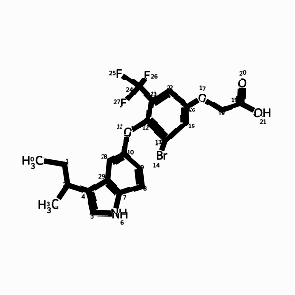 CCC(C)c1c[nH]c2ccc(Oc3c(Br)cc(OCC(=O)O)cc3C(F)(F)F)cc12